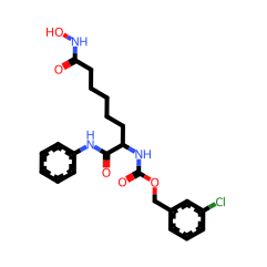 O=C(CCCCCC(NC(=O)OCc1cccc(Cl)c1)C(=O)Nc1ccccc1)NO